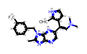 Cc1nc2ncc(/C(=C/N(C)C)c3cc[nH]c3C=O)nc2n1Cc1cccc(C(F)(F)F)c1